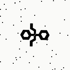 C=CCS(CC=C)(c1ccccc1)c1ccccc1